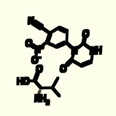 CC(C)[C@H](N)C(=O)O.N#Cc1ccc(-n2c(=O)cc[nH]c2=O)cc1[N+](=O)[O-]